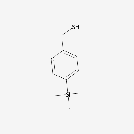 C[Si](C)(C)c1ccc(CS)cc1